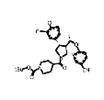 C[C@H](Oc1ccc(C#N)cn1)[C@H]1CN(C(=O)C2CCN(C(=O)OC(C)(C)C)CC2)C[C@@H]1c1ccc(Cl)c(Cl)c1